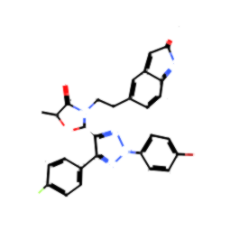 CC1O[C@H](c2nn(-c3ccc(Br)cc3)nc2-c2ccc(F)cc2)N(CCc2ccc3c(c2)=CC(=O)N=3)C1=O